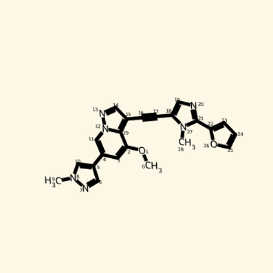 COc1cc(-c2cnn(C)c2)cn2ncc(C#Cc3cnc(-c4ccco4)n3C)c12